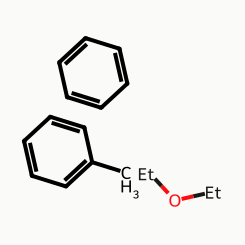 CCOCC.Cc1ccccc1.c1ccccc1